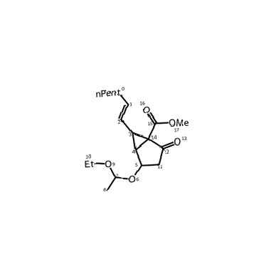 CCCCCC=CC1C2C(OC(C)OCC)CC(=O)C12C(=O)OC